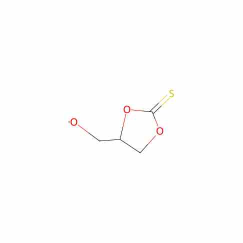 [O]CC1COC(=S)O1